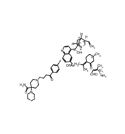 C=C[C@H]1C[N@]2CC[C@H]1C[C@H]2[C@H](O)c1ccnc2ccc(OC)cc12.CC(C)=C1CC[C@@H](C)CC1=O.CC(C)=CC=O.N.NC(=O)C1(N2CCCCC2)CCN(CCCC(=O)c2ccc(F)cc2)CC1